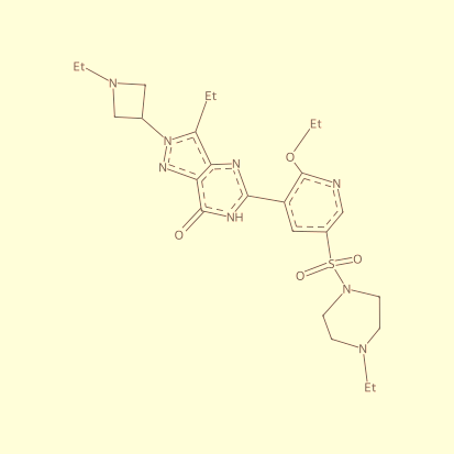 CCOc1ncc(S(=O)(=O)N2CCN(CC)CC2)cc1-c1nc2c(CC)n(C3CN(CC)C3)nc2c(=O)[nH]1